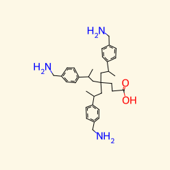 CC(CC(CCC(=O)O)(CC(C)c1ccc(CN)cc1)CC(C)c1ccc(CN)cc1)c1ccc(CN)cc1